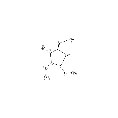 COC1[C@@H](OC)O[C@H](CO)[C@H]1O